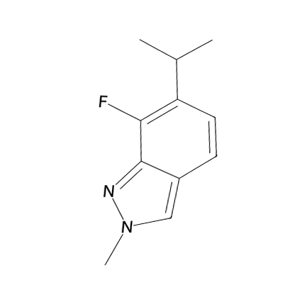 CC(C)c1ccc2cn(C)nc2c1F